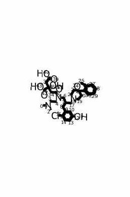 CN(C)CCN(CC(Cc1cc(O)ccc1Cl)CN1CCC2(CC1)OCc1ccccc12)C(=O)CC(O)(CC(=O)O)C(=O)O